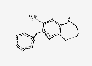 Nc1nc2c(cc1-c1ccccc1)CCCN2